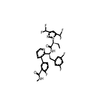 CC[C@@H](C(=O)N[C@@H](Cc1cc(F)cc(F)c1)c1ncccc1-c1ccc(F)c(C(=O)NC)c1)n1nc(C(F)F)cc1C(F)F